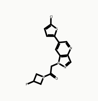 O=C(Cn1ncc2ncc(-c3ccc(Cl)s3)cc21)N1CC(F)C1